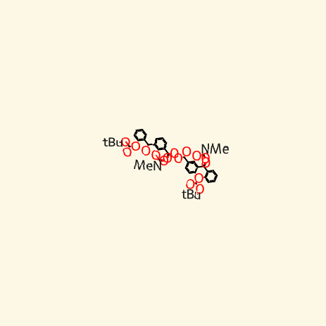 CNC(=O)Oc1c(C(=O)OOC(=O)c2cccc(C(=O)c3ccccc3OC(=O)OC(C)(C)C)c2OC(=O)NC)cccc1C(=O)c1ccccc1OC(=O)OC(C)(C)C